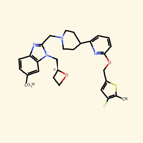 N#Cc1sc(COc2cccc(C3CCN(Cc4nc5ccc(C(=O)O)cc5n4C[C@@H]4CCO4)CC3)n2)cc1F